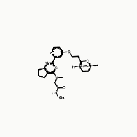 CN(CC(=O)NC(C)(C)C)c1nc(-c2cc(OCCN3C[C@H]4CC[C@@H]3CO4)ccn2)nc2c1CCC2